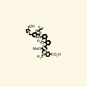 COc1nc(-c2cccc(-c3cccc(Nc4nc(C(F)F)nc5cc(CN6CC[C@@H](CO)C6)cnc45)c3C)c2Cl)cnc1CN(C)C1CCC(C(=O)O)CC1